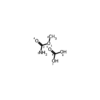 COC(N)=O.O=C(O)O